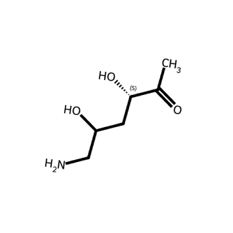 CC(=O)[C@@H](O)CC(O)CN